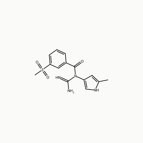 Cc1cc(N(C(=N)N)C(=O)c2cccc(S(C)(=O)=O)c2)c[nH]1